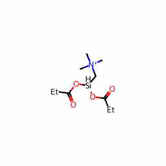 CCC(=O)O[SiH](C[N+](C)(C)C)OC(=O)CC